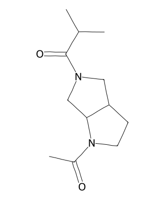 CC(=O)N1CCC2CN(C(=O)C(C)C)CC21